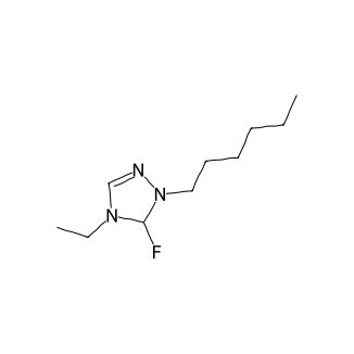 CCCCCCN1N=CN(CC)C1F